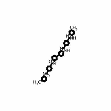 Cc1ccc2[nH]c(-c3ccc(-c4nc5cc(-c6ccc7oc(-c8ccc(-c9nc%10cc(C)ccc%10o9)cc8)nc7c6)ccc5[nH]4)cc3)nc2c1